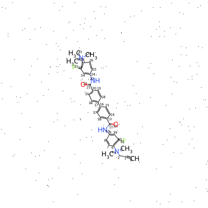 C#CC[N+](C)(C)c1ccc(NC(=O)c2ccc(-c3ccc(C(=O)Nc4ccc([N+](C)(C)C)c(F)c4)cc3)cc2)cc1F